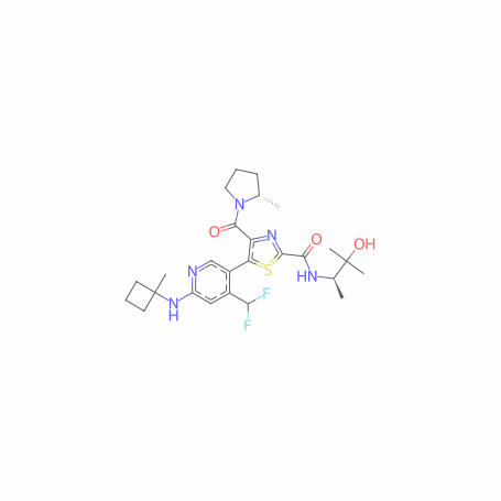 C[C@H]1CCCN1C(=O)c1nc(C(=O)N[C@H](C)C(C)(C)O)sc1-c1cnc(NC2(C)CCC2)cc1C(F)F